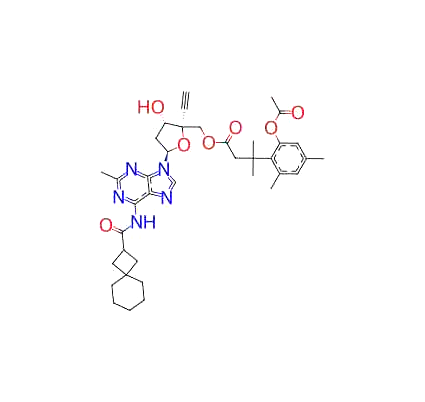 C#C[C@]1(COC(=O)CC(C)(C)c2c(C)cc(C)cc2OC(C)=O)O[C@@H](n2cnc3c(NC(=O)C4CC5(CCCCC5)C4)nc(C)nc32)C[C@@H]1O